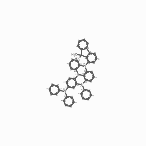 CC1(C)c2ccccc2-c2cccc(N3c4ccccc4B4c5ccc(N(c6ccccc6)c6ccccc6)cc5N(c5ccccc5)c5cccc3c54)c21